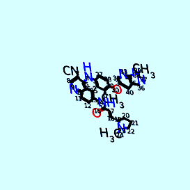 Cc1cc(Nc2c(C#N)cnc3ccc(NC(=O)/C=C/[C@H]4CCCN4C)cc23)ccc1Oc1cnc2c(cnn2C)c1